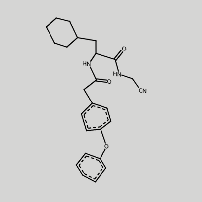 N#CCNC(=O)C(CC1CCCCC1)NC(=O)Cc1ccc(Oc2ccccc2)cc1